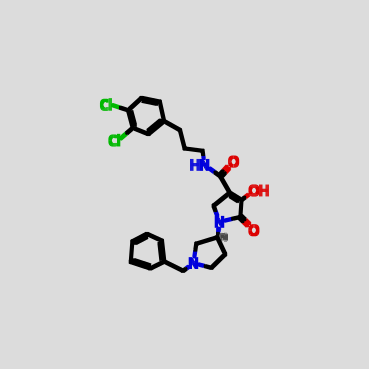 O=C(NCCCc1ccc(Cl)c(Cl)c1)C1=C(O)C(=O)N([C@H]2CCN(Cc3ccccc3)C2)C1